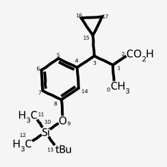 CC(C(=O)O)C(c1cccc(O[Si](C)(C)C(C)(C)C)c1)C1CC1